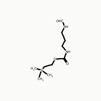 C[Si](C)(C)CCOC(=O)NCCCNC=O